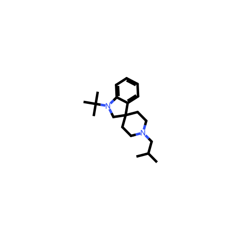 CC(C)CN1CCC2(CC1)CN(C(C)(C)C)c1ccccc12